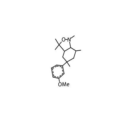 COc1cccc(C2(C)CC(C)C3C(C2)C(C)(C)ON3C)c1